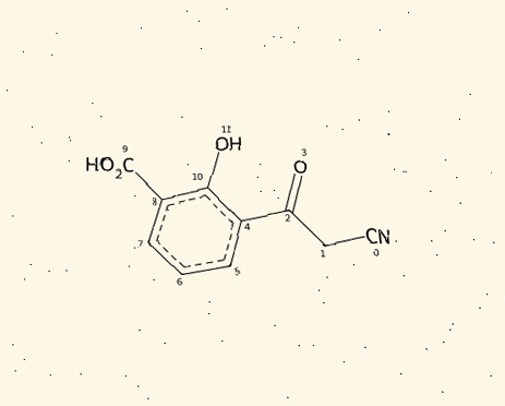 N#CCC(=O)c1cccc(C(=O)O)c1O